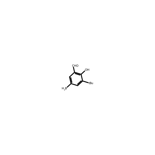 Bc1cc(C=O)c(O)c(C(C)(C)C)c1